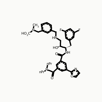 CCCN(CCC)C(=O)c1cc(C(=O)N[C@@H](Cc2cc(F)cc(F)c2)[C@H](O)CNCc2cccc(CN(C)C(=O)O)c2)cc(-c2ncco2)c1